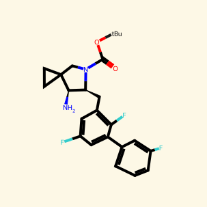 CC(C)(C)OC(=O)N1CC2(CC2)[C@H](N)[C@@H]1Cc1cc(F)cc(-c2cccc(F)c2)c1F